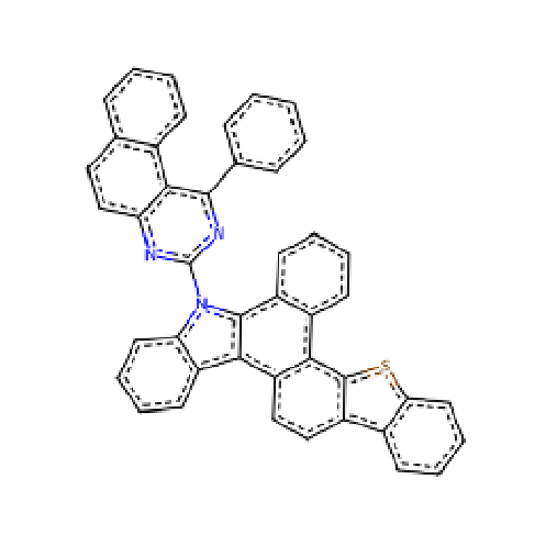 c1ccc(-c2nc(-n3c4ccccc4c4c5ccc6c7ccccc7sc6c5c5ccccc5c43)nc3ccc4ccccc4c23)cc1